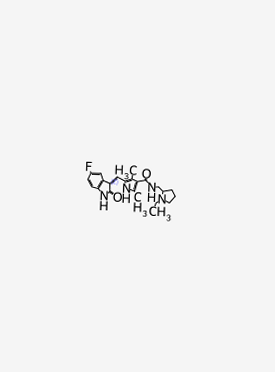 CCN1CCCC1CNC(=O)c1c(C)[nH]c(/C=C2\C(=O)Nc3ccc(F)cc32)c1C